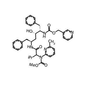 COC(=O)N(c1cccc(C)n1)C(C(=O)N[C@@H](Cc1ccccc1)C[C@H](O)[C@H](Cc1ccccc1)NC(=O)OCc1cccnc1)C(C)C